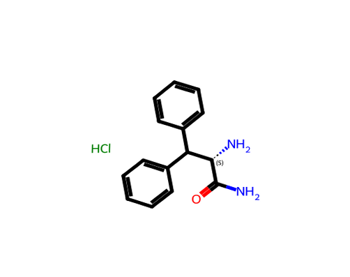 Cl.NC(=O)[C@@H](N)C(c1ccccc1)c1ccccc1